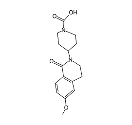 COc1ccc2c(c1)CCN(C1CCN(C(=O)O)CC1)C2=O